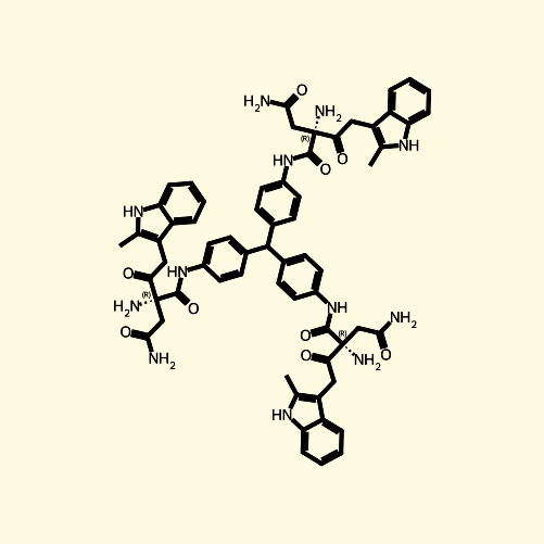 Cc1[nH]c2ccccc2c1CC(=O)[C@](N)(CC(N)=O)C(=O)Nc1ccc(C(c2ccc(NC(=O)[C@@](N)(CC(N)=O)C(=O)Cc3c(C)[nH]c4ccccc34)cc2)c2ccc(NC(=O)[C@@](N)(CC(N)=O)C(=O)Cc3c(C)[nH]c4ccccc34)cc2)cc1